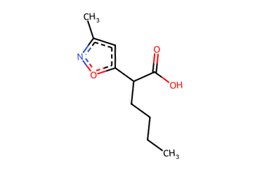 CCCCC(C(=O)O)c1cc(C)no1